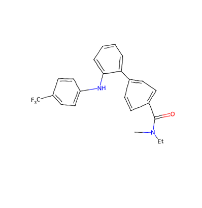 CCN(C)C(=O)c1ccc(-c2ccccc2Nc2ccc(C(F)(F)F)cc2)cc1